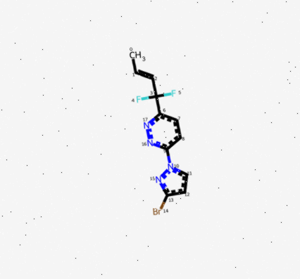 C/C=C/C(F)(F)c1ccc(-n2ccc(Br)n2)nn1